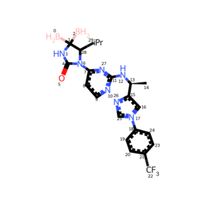 BC1(B)NC(=O)N(c2ccnc(N[C@@H](C)c3cn(-c4ccc(C(F)(F)F)cc4)cn3)n2)C1C(C)C